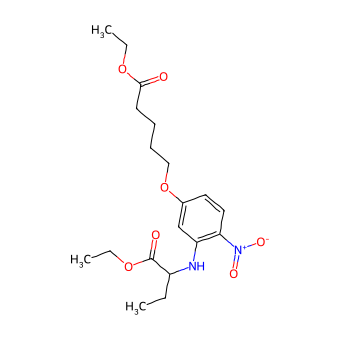 CCOC(=O)CCCCOc1ccc([N+](=O)[O-])c(NC(CC)C(=O)OCC)c1